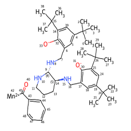 CC(C)(C)c1cc(CN[C@H]2NCCC[C@@H]2NCc2cc(C(C)(C)C)cc(C(C)(C)C)c2[O-])c([O-])c(C(C)(C)C)c1.O=[C]([Mn+2])c1ccccc1